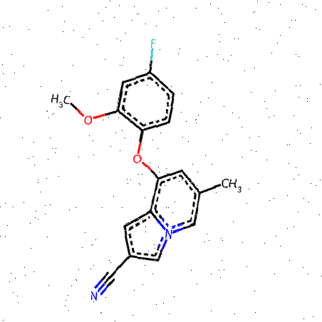 COc1cc(F)ccc1Oc1cc(C)cn2cc(C#N)cc12